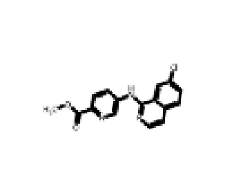 COC(=O)c1ccc(Nc2nccc3ccc(Cl)cc23)cn1